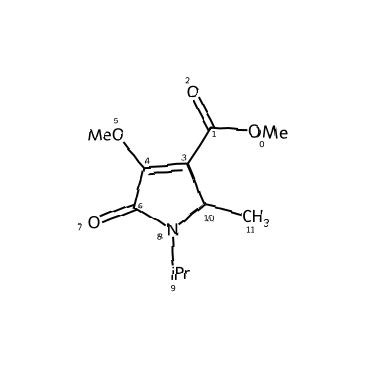 COC(=O)C1=C(OC)C(=O)N(C(C)C)C1C